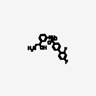 NCC(O)c1cccc(NS(=O)(=O)c2ccc(-c3ccc(F)cc3F)cc2)c1